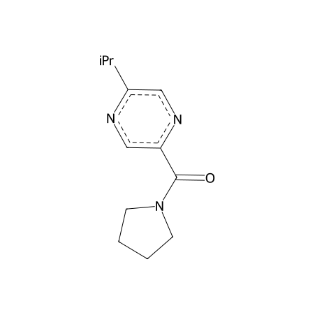 CC(C)c1cnc(C(=O)N2CCCC2)cn1